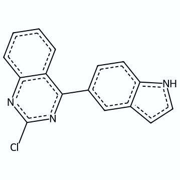 Clc1nc(-c2ccc3[nH]ccc3c2)c2ccccc2n1